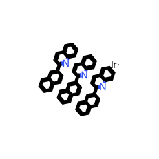 [Ir].c1ccc2cc(-c3ccc4ccccc4n3)ccc2c1.c1ccc2cc(-c3ccc4ccccc4n3)ccc2c1.c1ccc2cc(-c3ccc4ccccc4n3)ccc2c1